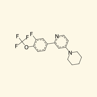 Fc1cc(-c2cc(N3CCCCC3)ccn2)ccc1OC(F)(F)F